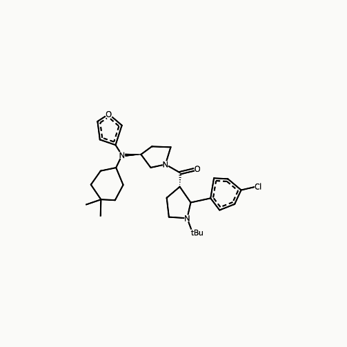 CC1(C)CCC(N(c2ccoc2)[C@H]2CCN(C(=O)[C@H]3CCN(C(C)(C)C)C3c3ccc(Cl)cc3)C2)CC1